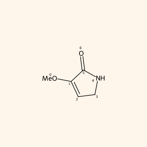 COC1=CCNC1=O